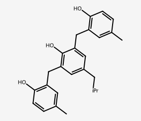 Cc1ccc(O)c(Cc2cc(CC(C)C)cc(Cc3cc(C)ccc3O)c2O)c1